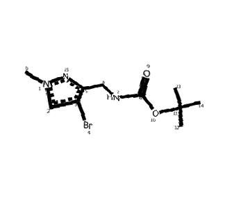 Cn1cc(Br)c(CNC(=O)OC(C)(C)C)n1